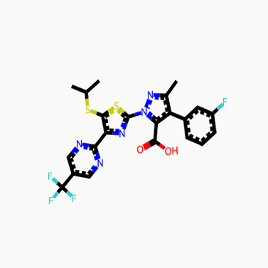 Cc1nn(-c2nc(-c3ncc(C(F)(F)F)cn3)c(SC(C)C)s2)c(C(=O)O)c1-c1cccc(F)c1